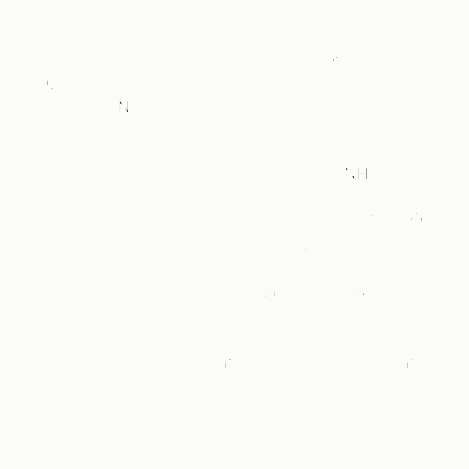 O=C1C[C@@](c2ccc(N3CCOCC3)cc2)(c2ccsc2)NC(=O)C1Sc1cc(Cl)ccc1Cl